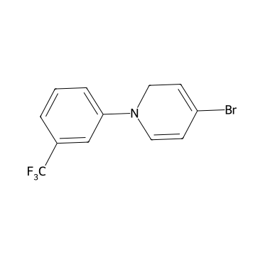 FC(F)(F)c1cccc(N2C=CC(Br)=CC2)c1